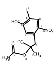 CC(C)(Cc1cc(O)c(I)cc1[N+](=O)[O-])OC(N)=O